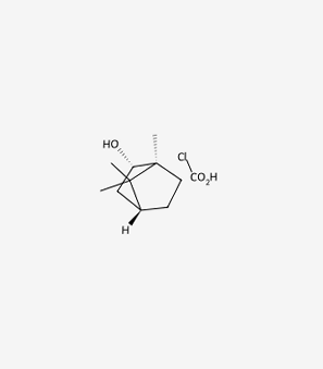 CC1(C)[C@@H]2CC[C@]1(C)[C@@H](O)C2.O=C(O)Cl